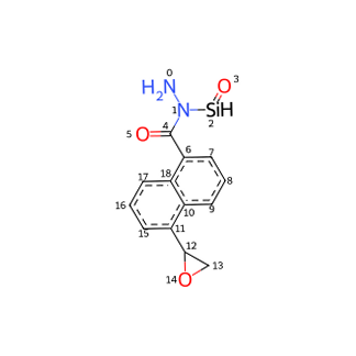 NN([SiH]=O)C(=O)c1cccc2c(C3CO3)cccc12